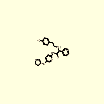 N#Cc1ccc(CCNC(C(=O)Nc2ccc(O[C@@H]3CCOC3)cn2)c2ccccc2)cc1